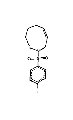 Cc1ccc(S(=O)(=O)N2CC=CCCCS2)cc1